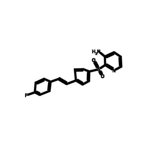 Nc1cccnc1S(=O)(=O)c1ccc(C=Cc2ccc(F)cc2)cc1